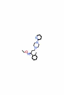 CCO/N=C(\CCN1CCN(c2ccccn2)CC1)c1ccccc1C